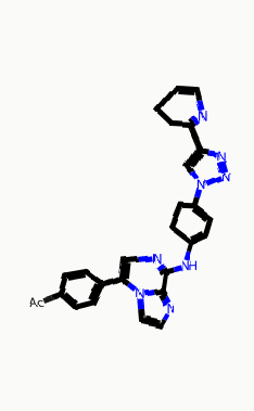 CC(=O)c1ccc(-c2cnc(NC3=CC=C(n4cc(C5=NC=CCC5)nn4)CC3)c3nccn23)cc1